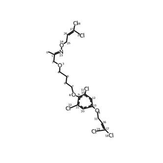 CC(COCCCCOc1c(Cl)cc(OCC=C(Cl)Cl)cc1Cl)=NOCC=C(Cl)Cl